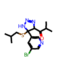 CC(C)CSC1(c2cncc(Br)c2)NN=NC1C(=O)C(C)C